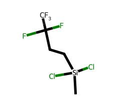 C[Si](Cl)(Cl)CCC(F)(F)C(F)(F)F